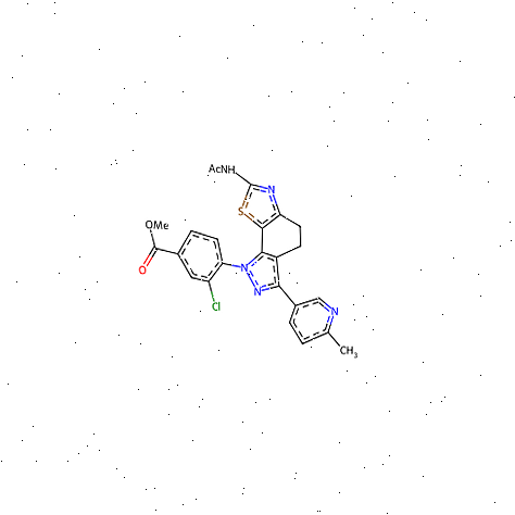 COC(=O)c1ccc(-n2nc(-c3ccc(C)nc3)c3c2-c2sc(NC(C)=O)nc2CC3)c(Cl)c1